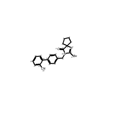 CCC(C)C1=NC2(CCCC2)C(=O)N1Cc1ccc(-c2ccccc2C#N)cc1